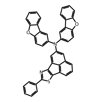 c1ccc(-c2nc3c(s2)-c2cccc4cc(N(c5ccc6oc7ccccc7c6c5)c5ccc6oc7ccccc7c6c5)cc-3c24)cc1